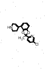 C[C@]1(c2ccc(Cl)cn2)Oc2cccc(C3=CCNCC3)c2O1